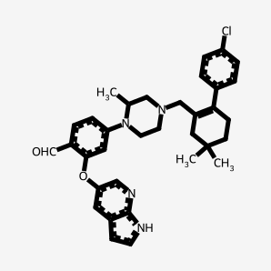 CC1CN(CC2=C(c3ccc(Cl)cc3)CCC(C)(C)C2)CCN1c1ccc(C=O)c(Oc2cnc3[nH]ccc3c2)c1